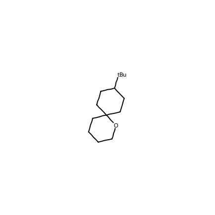 CC(C)(C)C1CCC2(CCCCO2)CC1